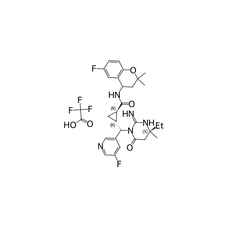 CC[C@@]1(C)CC(=O)N(C(c2cncc(F)c2)[C@@H]2C[C@H]2C(=O)NC2CC(C)(C)Oc3ccc(F)cc32)C(=N)N1.O=C(O)C(F)(F)F